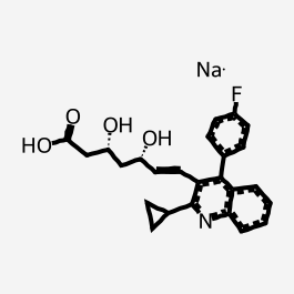 O=C(O)C[C@H](O)C[C@H](O)C=Cc1c(C2CC2)nc2ccccc2c1-c1ccc(F)cc1.[Na]